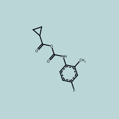 Cc1cc(F)ccc1NC(=O)OC(=O)C1CC1